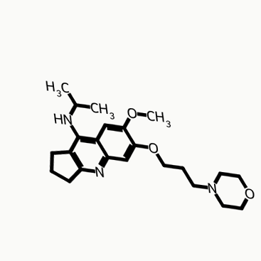 COc1cc2c(NC(C)C)c3c(nc2cc1OCCCN1CCOCC1)CCC3